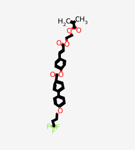 C=C(C)C(=O)OCCOC(=O)/C=C/c1ccc(OC(=O)c2ccc(-c3ccc(OCCCC(F)(F)F)cc3)cc2)cc1